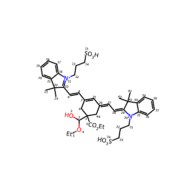 CCOC(=O)C1(C(O)OCC)CC(/C=C/C2=[N+](CCCS(=O)(=O)O)c3ccccc3C2(C)C)=CC(=C/C=C2/N(CCCS(=O)(=O)O)c3ccccc3C2(C)C)/C1